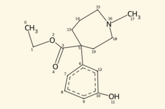 CCOC(=O)C1(c2cccc(O)c2)CCCN(C)CC1